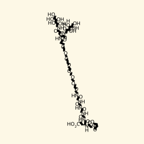 O=C(O)CC[C@H](NC(=O)CN1C(=O)C=CC1=O)C(=O)NCC(=O)NCC(=O)NCC(=O)NCC(=O)NCCOCCOCCOCCOCCOCCOCCOCCOCCC(=O)N[C@@H](CCC(=O)NC[C@H](O)[C@@H](O)[C@H](O)[C@H](O)CO)C(=O)NC[C@H](O)[C@@H](O)[C@H](O)[C@H](O)CO